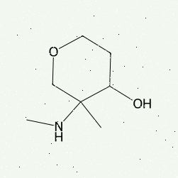 CNC1(C)COCCC1O